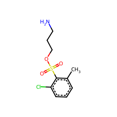 Cc1cccc(Cl)c1S(=O)(=O)OCCCN